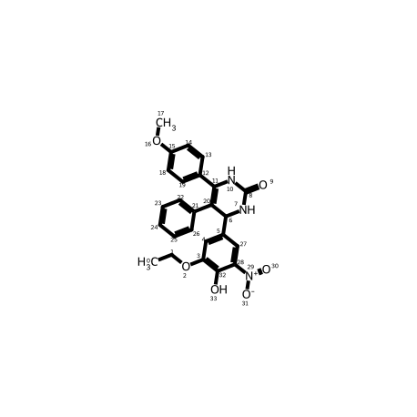 CCOc1cc(C2NC(=O)NC(c3ccc(OC)cc3)=C2c2ccccc2)cc([N+](=O)[O-])c1O